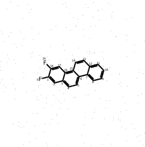 Fc1[c]c2ccc3c4ccccc4ccc3c2cc1F